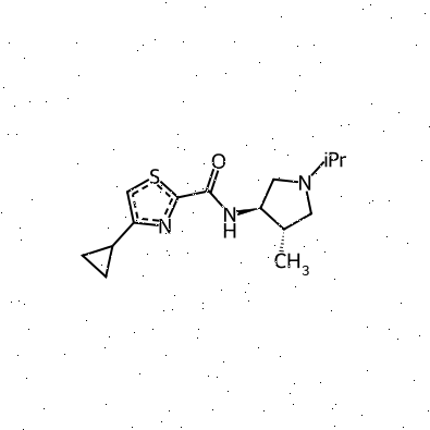 CC(C)N1C[C@H](NC(=O)c2nc(C3CC3)cs2)[C@@H](C)C1